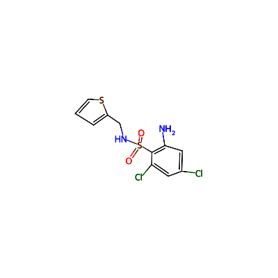 Nc1cc(Cl)cc(Cl)c1S(=O)(=O)NCc1cccs1